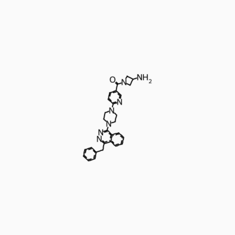 NC1CN(C(=O)c2ccc(N3CCN(c4nnc(Cc5ccccc5)c5ccccc45)CC3)nc2)C1